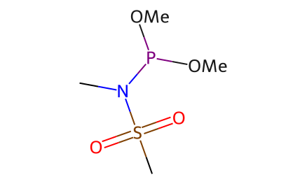 COP(OC)N(C)S(C)(=O)=O